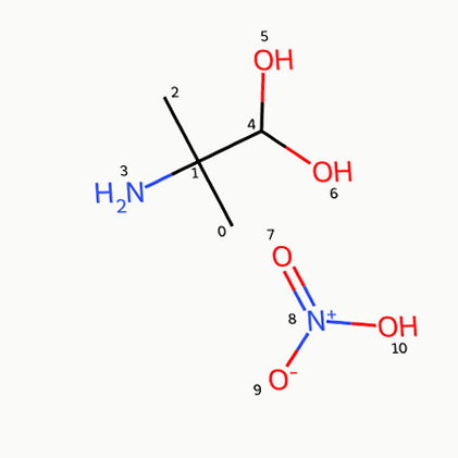 CC(C)(N)C(O)O.O=[N+]([O-])O